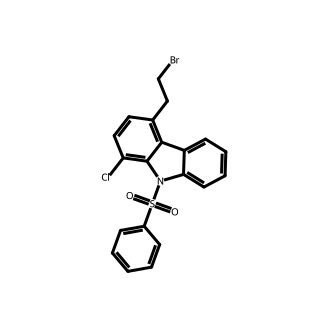 O=S(=O)(c1ccccc1)n1c2ccccc2c2c(CCBr)ccc(Cl)c21